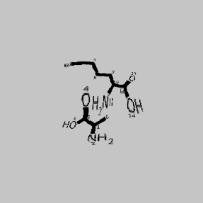 CC(N)C(=O)O.CCCCC(N)C(=O)O